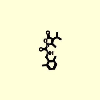 Cc1cccc(C)c1CNC(=O)n1oc(=O)c(C(C)C)c1C